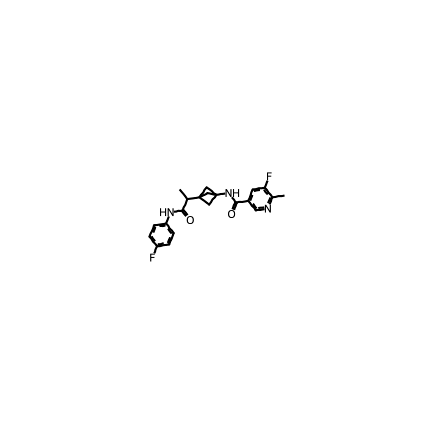 Cc1ncc(C(=O)NC23CC(C(C)C(=O)Nc4ccc(F)cc4)(C2)C3)cc1F